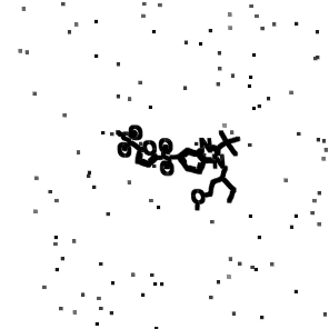 CCC(CCOC)Cn1c(C(C)(C)C)nc2cc(S(=O)(=O)c3ccc(S(C)(=O)=O)o3)ccc21